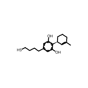 CC1=C[C@@H](c2c(O)cc(CCCCS)cc2O)CCC1